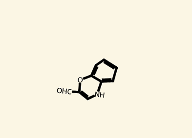 O=CC1=CNc2ccccc2O1